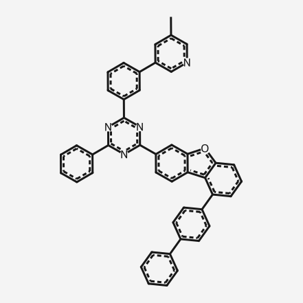 Cc1cncc(-c2cccc(-c3nc(-c4ccccc4)nc(-c4ccc5c(c4)oc4cccc(-c6ccc(-c7ccccc7)cc6)c45)n3)c2)c1